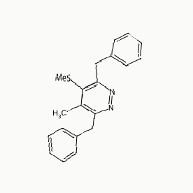 CSc1c(Cc2ccccc2)nnc(Cc2ccccc2)c1C